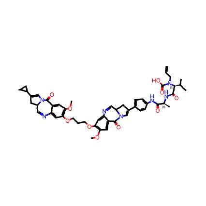 C=CCN(C(=O)O)[C@H](C(=O)N[C@@H](C)C(=O)Nc1ccc(C2=CN3C(=O)c4cc(OC)c(OCCCOc5cc6c(cc5OC)C(=O)N5C=C(C7CC7)CC5C=N6)cc4N=CC3C2)cc1)C(C)C